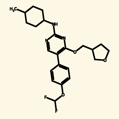 CC1CCC(Nc2ncc(-c3ccc(OC(F)F)cc3)c(OCC3CCOC3)n2)CC1